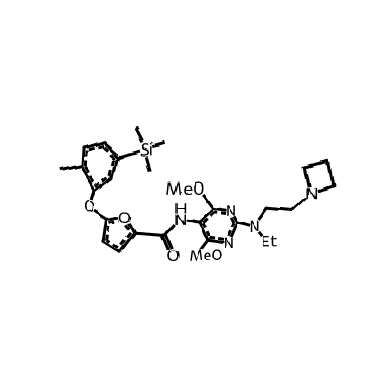 CCN(CCN1CCC1)c1nc(OC)c(NC(=O)c2ccc(Oc3cc([Si](C)(C)C)ccc3C)o2)c(OC)n1